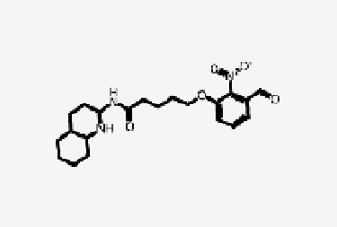 O=Cc1cccc(OCCCCC(=O)NC2CCC3CCCCC3N2)c1[N+](=O)[O-]